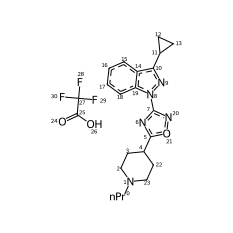 CCCN1CCC(c2nc(-n3nc(C4CC4)c4ccccc43)no2)CC1.O=C(O)C(F)(F)F